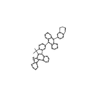 CC1(C)c2ccc(-c3c4ccccc4c(-c4ccc5c(c4)CCC=C5)c4ccccc34)cc2-c2c1c1sc3ccccc3c1c1ccccc21